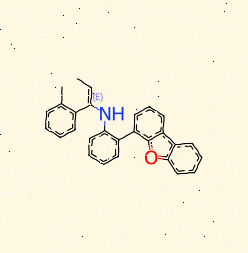 C/C=C(/Nc1ccccc1-c1cccc2c1oc1ccccc12)c1ccccc1C